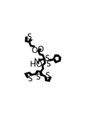 N#CC(CCC(=O)OCCc1ccsc1)(CC(O)Cc1cc(-c2cccs2)sc1-c1cccs1)SC(=S)c1ccccc1